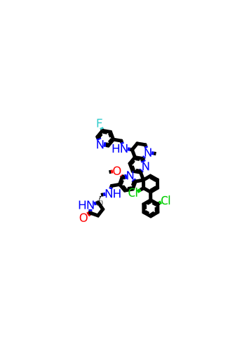 COc1nc(C2(c3ccc4c(n3)N(C)CCC4NCc3cncc(F)c3)C=CC=C(c3ccccc3Cl)C2Cl)ccc1CNC[C@@H]1CCC(=O)N1